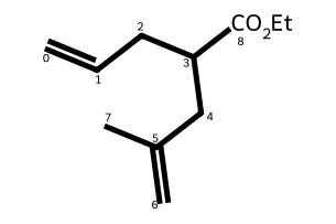 C=CCC(CC(=C)C)C(=O)OCC